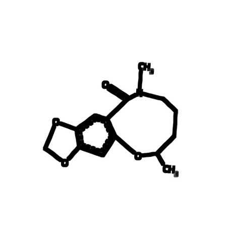 CC1CCCN(C)C(=O)c2cc3c(cc2O1)OCO3